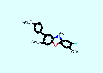 CC(=O)Oc1cc2c(cc1F)N(C(C)=O)c1cc(-c3ccc(C(=O)O)cc3)c(OC(C)=O)cc1O2